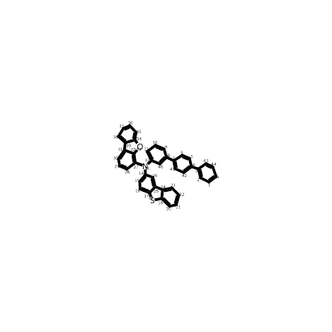 c1ccc(-c2ccc(-c3cccc(N(c4ccc5sc6ccccc6c5c4)c4cccc5c4oc4ccccc45)c3)cc2)cc1